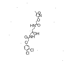 Cc1cc(OCC(=O)NCC[C@H](O)CNC(=O)COc2ccc(Cl)c(Cl)c2)no1